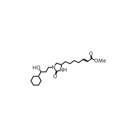 COC(=O)C=CCCCCC1CN(CCC(O)C2CCCCC2)C(=O)N1